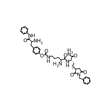 NC(=O)[C@H](CSC1CC(=O)N(Cc2ccccc2)C1=O)NC(=O)C(N)CCCNC(=O)Oc1ccc(CC(N)C(=O)Nc2ccccc2)cc1